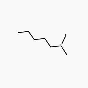 CCCCCN(C)I